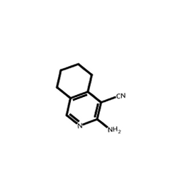 N#Cc1c(N)ncc2c1CCCC2